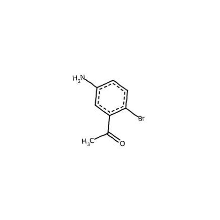 CC(=O)c1cc(N)ccc1Br